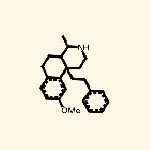 COc1ccc2c(c1)C1(CCc3ccccc3)CCNC(C)C1CC2